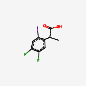 CC(C(=O)O)c1cc(F)c(F)cc1I